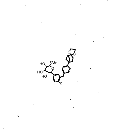 CS[C@H]1OC(c2ccc(Cl)c(Cc3ccc(C45CCC6(OCCO6)C(C4)C5)cc3)c2)[C@H](O)[C@@H](O)[C@@H]1O